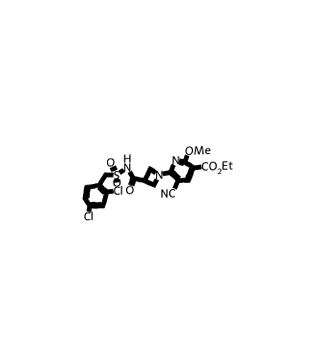 CCOC(=O)c1cc(C#N)c(N2CC(C(=O)NS(=O)(=O)Cc3ccc(Cl)cc3Cl)C2)nc1OC